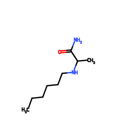 CCCCCCNC(C)C(N)=O